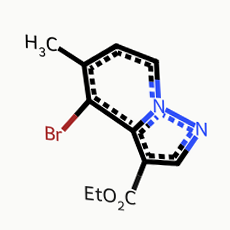 CCOC(=O)c1cnn2ccc(C)c(Br)c12